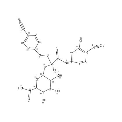 [C-]#[N+]c1ccc(NC(=O)[C@](C)(COc2ccc(C#N)cc2)OC2OC(C(=O)O)C(O)C(O)C2O)cc1Cl